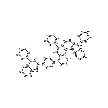 c1ccc(-c2nc(-c3ccc(-c4cccc5c4nc(-c4ccccc4)c4ccc6c(c7ccccc7n6-c6ccccc6)c45)cc3)nc3ccccc23)cc1